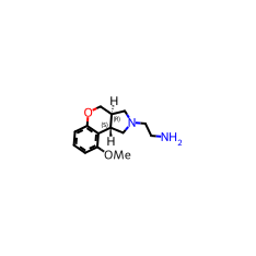 COc1cccc2c1[C@H]1CN(CCN)C[C@@H]1CO2